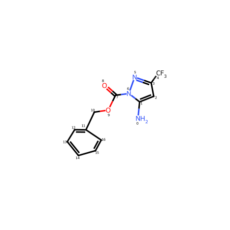 Nc1cc(C(F)(F)F)nn1C(=O)OCc1ccccc1